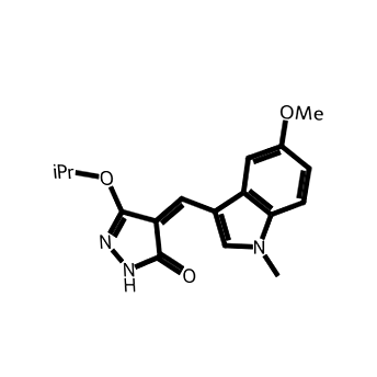 COc1ccc2c(c1)c(C=C1C(=O)NN=C1OC(C)C)cn2C